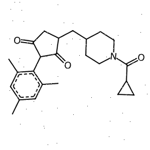 Cc1cc(C)c(C2C(=O)CC(CC3CCN(C(=O)C4CC4)CC3)C2=O)c(C)c1